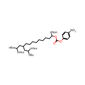 CCCCCCCCCC(CCCCCCCCC(CC(CCCC)CCCCCC)CC(CCCC)CCCCCC)OC(=O)Oc1ccc([N+](=O)[O-])cc1